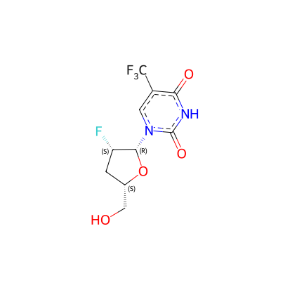 O=c1[nH]c(=O)n([C@@H]2O[C@H](CO)C[C@@H]2F)cc1C(F)(F)F